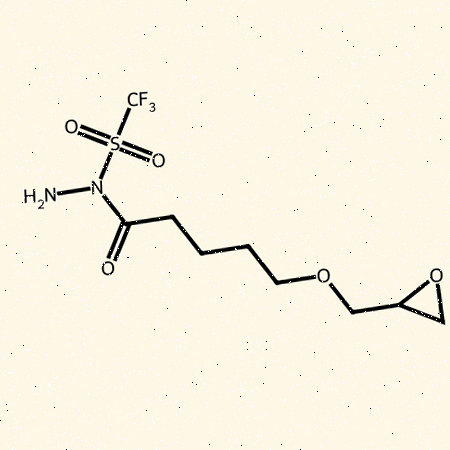 NN(C(=O)CCCCOCC1CO1)S(=O)(=O)C(F)(F)F